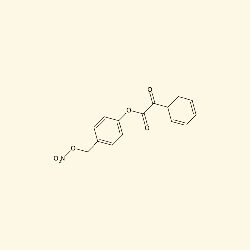 O=C(Oc1ccc(CO[N+](=O)[O-])cc1)C(=O)C1C=CC=CC1